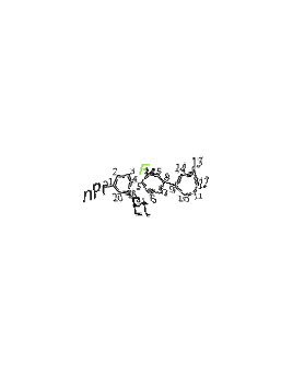 CCCc1ccc(-c2ccc(-c3ccccc3)cc2F)c(CC)c1